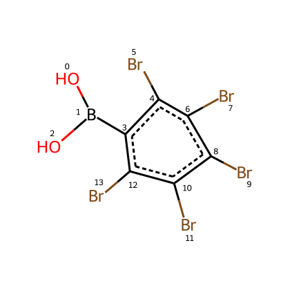 OB(O)c1c(Br)c(Br)c(Br)c(Br)c1Br